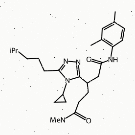 CNC(=O)CCC(CC(=O)Nc1ccc(C)cc1C)c1nnc(CCCC(C)C)n1C1CC1